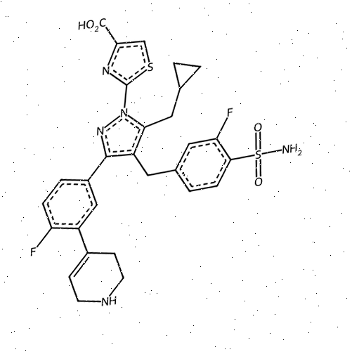 NS(=O)(=O)c1ccc(Cc2c(-c3ccc(F)c(C4=CCNCC4)c3)nn(-c3nc(C(=O)O)cs3)c2CC2CC2)cc1F